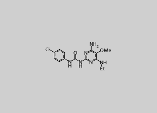 CCNc1nc(NC(=O)Nc2ccc(Cl)cc2)nc(N)c1OC